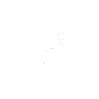 CCOC(=O)C12CCCCC1N(C(=O)CC(C)c1c[nH]c3cccc(Cl)c13)CCC2